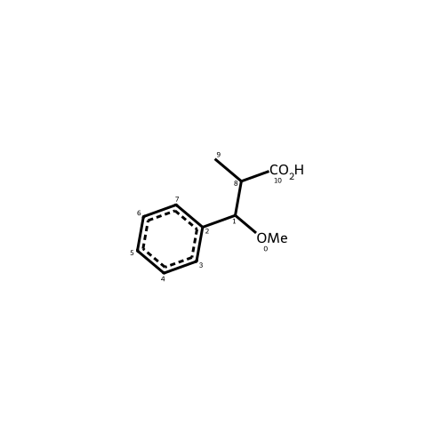 COC(c1ccccc1)C(C)C(=O)O